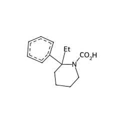 CCC1(c2ccccc2)CCCCN1C(=O)O